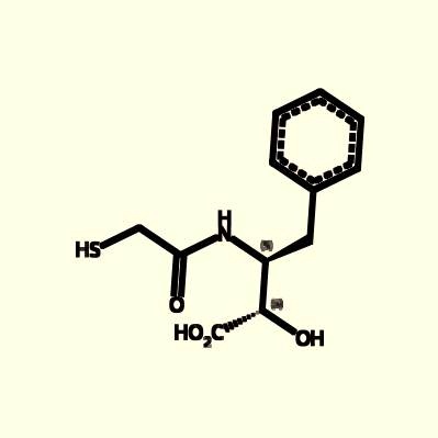 O=C(CS)N[C@@H](Cc1ccccc1)[C@H](O)C(=O)O